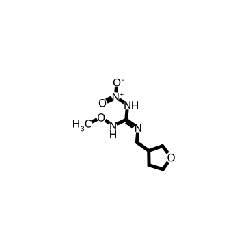 CON/C(=N\CC1CCOC1)N[N+](=O)[O-]